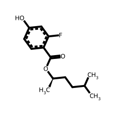 CC(C)CC[C@@H](C)OC(=O)c1ccc(O)cc1F